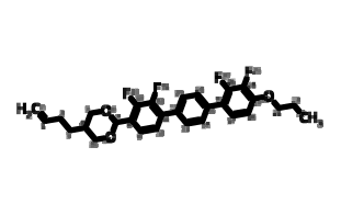 C=CCCC1COC(c2ccc(-c3ccc(-c4ccc(OCCC)c(F)c4F)cc3)c(F)c2F)OC1